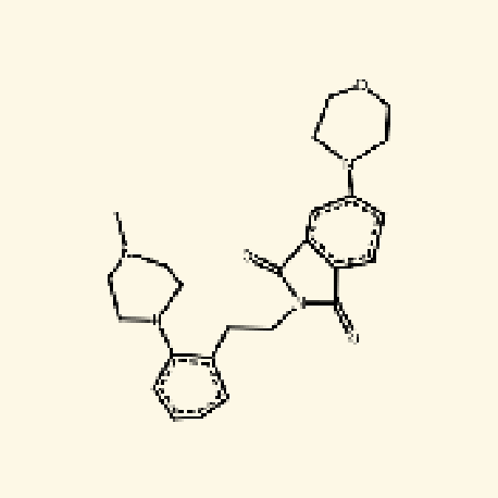 CN1CCN(c2ccccc2CCN2C(=O)c3ccc(N4CCOCC4)cc3C2=O)CC1